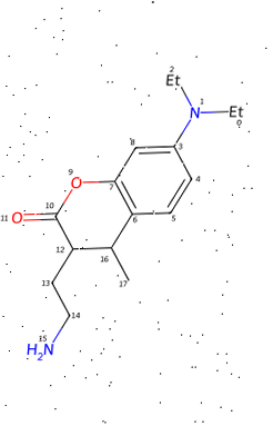 CCN(CC)c1ccc2c(c1)OC(=O)C(CCN)C2C